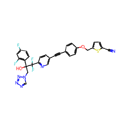 N#Cc1ccc(COc2ccc(C#Cc3ccc(C(F)(F)C(O)(Cn4cnnn4)c4ccc(F)cc4F)nc3)cc2)s1